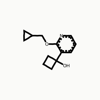 OC1(c2cccnc2OCC2CC2)CCC1